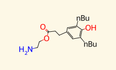 CCCCc1cc(CCC(=O)OCCN)cc(CCCC)c1O